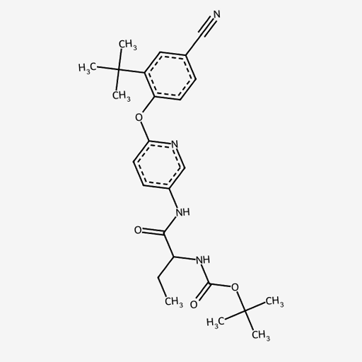 CCC(NC(=O)OC(C)(C)C)C(=O)Nc1ccc(Oc2ccc(C#N)cc2C(C)(C)C)nc1